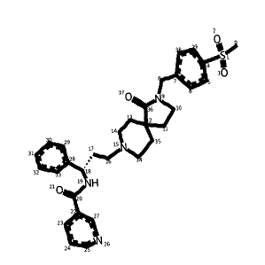 CS(=O)(=O)c1ccc(CN2CCC3(CCN(CC[C@H](NC(=O)c4cccnc4)c4ccccc4)CC3)C2=O)cc1